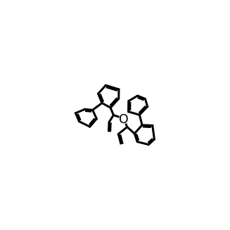 C=CC(OC(C=C)c1ccccc1-c1ccccc1)c1ccccc1-c1ccccc1